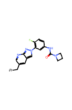 CC(C)Cc1cnc2nn(-c3cc(NC(=O)N4CCC4)ccc3F)cc2c1